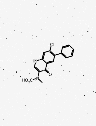 CN(C(=O)O)c1c[nH]c2cc(Cl)c(-c3ccccc3)cc2c1=O